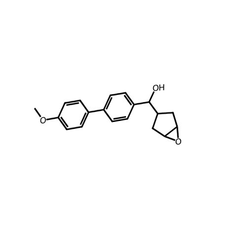 COc1ccc(-c2ccc(C(O)C3CC4OC4C3)cc2)cc1